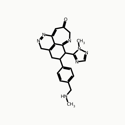 CNCc1ccc(C2CC3=C4C(=CC(=O)CN=C4C2c2ncnn2C)N=NC3)cc1